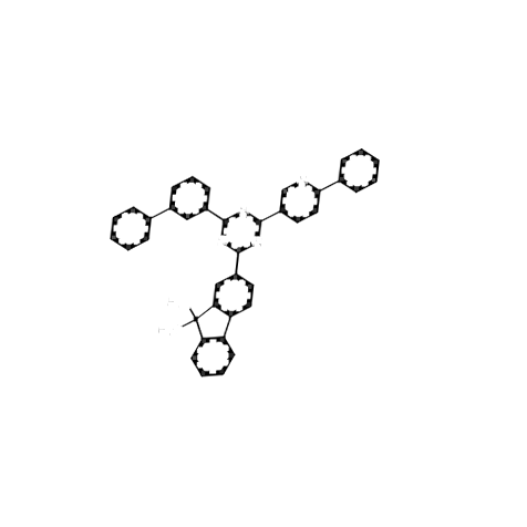 CC1(C)c2ccccc2-c2ccc(-c3nc(-c4ccc(-c5ccccc5)nc4)nc(-c4cccc(-c5ccccc5)c4)n3)cc21